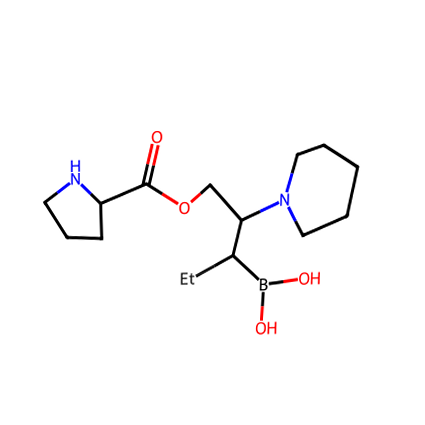 CCC(B(O)O)C(COC(=O)C1CCCN1)N1CCCCC1